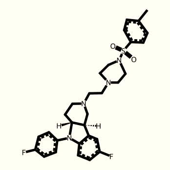 Cc1ccc(S(=O)(=O)N2CCN(CCN3CC[C@@H]4[C@@H](C3)c3cc(F)ccc3N4c3ccc(F)cc3)CC2)cc1